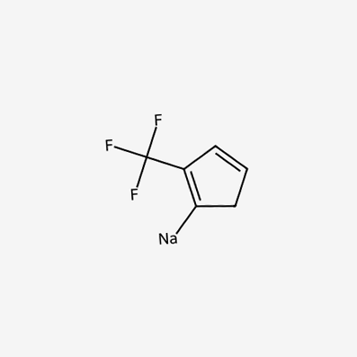 FC(F)(F)C1=[C]([Na])CC=C1